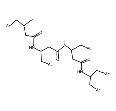 CC(=O)CC(C)CC(=O)NC(CC(C)=O)CC(=O)NC(CC(C)=O)CC(=O)NC(CC(C)=O)CC(C)=O